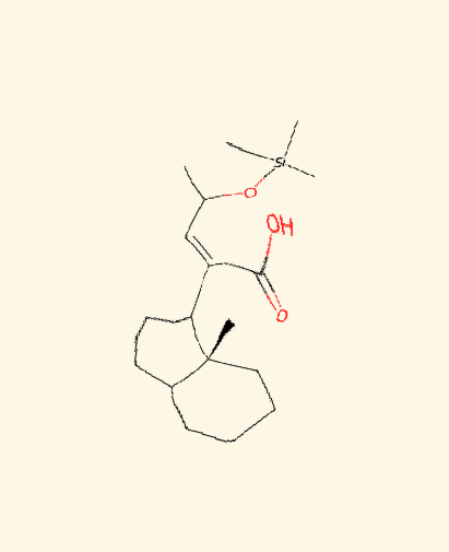 CC(C=C(C(=O)O)C1CCC2CCCC[C@]21C)O[Si](C)(C)C